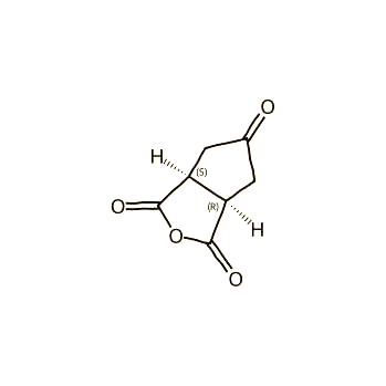 O=C1C[C@@H]2C(=O)OC(=O)[C@@H]2C1